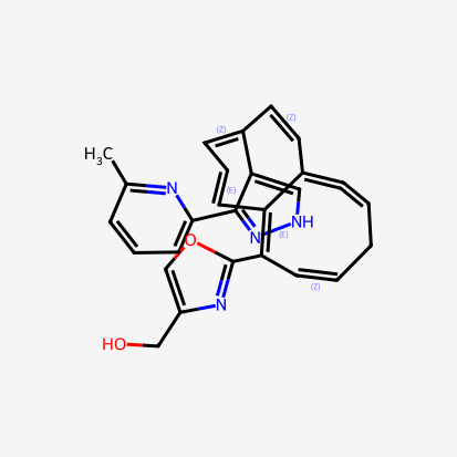 Cc1cccc(-c2n[nH]cc2C2=C\C=C\C3=C(c4nc(CO)co4)\C=C/CC=C=C3/C=C\2)n1